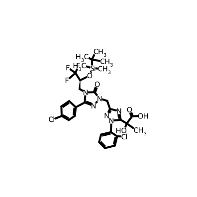 CC(O)(C(=O)O)c1nc(Cn2nc(-c3ccc(Cl)cc3)n(C[C@H](O[Si](C)(C)C(C)(C)C)C(F)(F)F)c2=O)nn1-c1ccccc1Cl